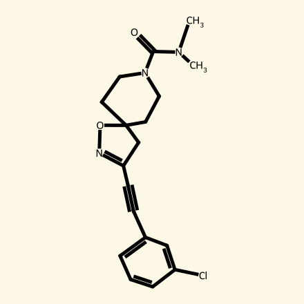 CN(C)C(=O)N1CCC2(CC1)CC(C#Cc1cccc(Cl)c1)=NO2